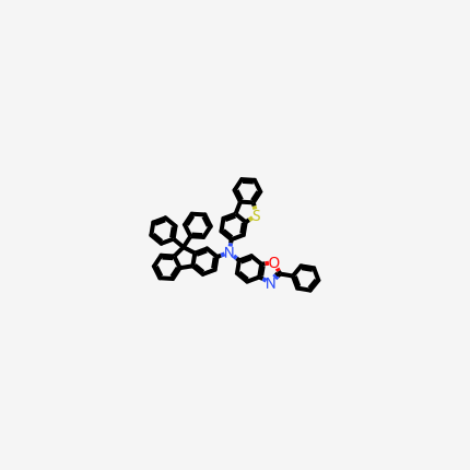 c1ccc(-c2nc3ccc(N(c4ccc5c(c4)C(c4ccccc4)(c4ccccc4)c4ccccc4-5)c4ccc5c(c4)sc4ccccc45)cc3o2)cc1